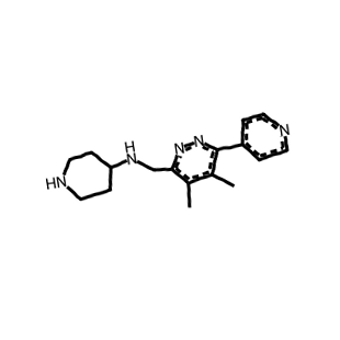 Cc1c(CNC2CCNCC2)nnc(-c2ccncc2)c1C